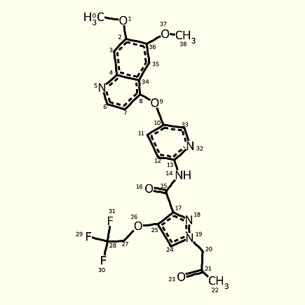 COc1cc2nccc(Oc3ccc(NC(=O)c4nn(CC(C)=O)cc4OCC(F)(F)F)nc3)c2cc1OC